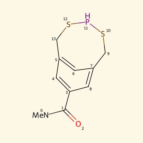 CNC(=O)c1cc2cc(c1)CSPSC2